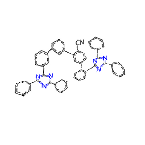 N#Cc1ccc(-c2ccccc2-c2nc(-c3ccccc3)nc(-c3ccccc3)n2)cc1-c1cccc(-c2cccc(-c3nc(-c4ccccc4)nc(-c4ccccc4)n3)c2)c1